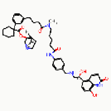 CN(CCCCC(=O)Nc1ccc(CNC[C@@H](O)c2ccc(O)c3[nH]c(=O)ccc23)cc1)C(=O)CCCc1cccc(C2(C(=O)O[C@H]3CN4CCC3CC4)CCCCC2)c1